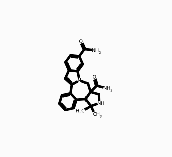 CC1(C)NCC2(C(N)=O)Cn3c(cc4ccc(C(N)=O)cc43)-c3ccccc3C12